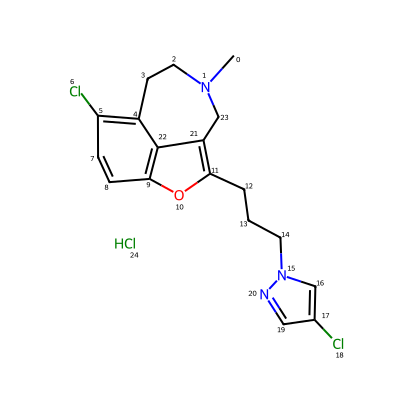 CN1CCc2c(Cl)ccc3oc(CCCn4cc(Cl)cn4)c(c23)C1.Cl